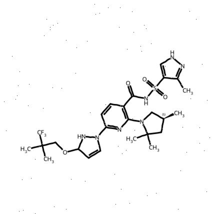 Cc1n[nH]cc1S(=O)(=O)NC(=O)c1ccc(N2C=CC(OCC(C)(C)C(F)(F)F)N2)nc1N1C[C@@H](C)CC1(C)C